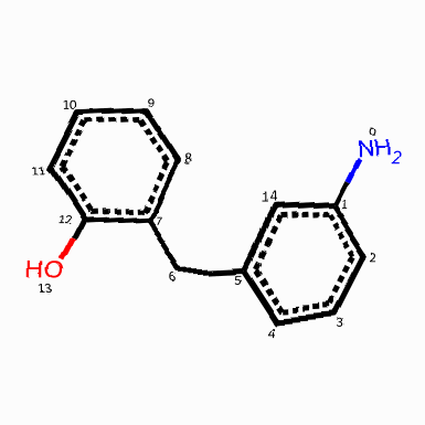 Nc1cccc(Cc2ccccc2O)c1